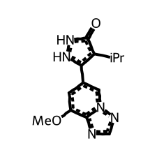 COc1cc(-c2[nH][nH]c(=O)c2C(C)C)cn2ncnc12